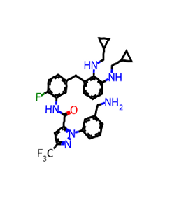 NCc1cccc(-n2nc(C(F)(F)F)cc2C(=O)Nc2cc(Cc3cccc(NCC4CC4)c3NCC3CC3)ccc2F)c1